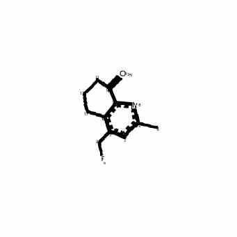 Cc1cc(CF)c2c(n1)C(=O)CCC2